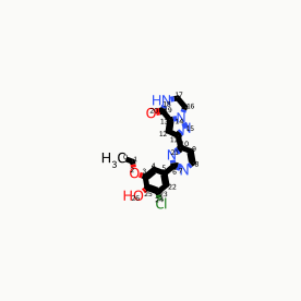 CCOc1cc(-c2nccc(-c3cc4n(n3)CCNC4=O)n2)cc(Cl)c1O